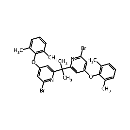 Cc1cccc(C)c1Oc1cc(Br)nc(C(C)(C)c2cc(Oc3c(C)cccc3C)cc(Br)n2)c1